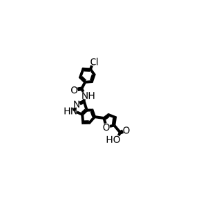 O=C(Nc1n[nH]c2ccc(-c3ccc(C(=O)O)o3)cc12)c1ccc(Cl)cc1